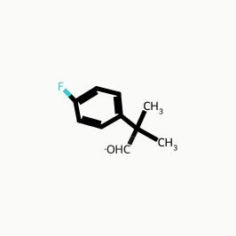 CC(C)([C]=O)c1ccc(F)cc1